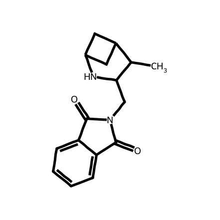 CC1C2CC(C2)NC1CN1C(=O)c2ccccc2C1=O